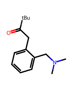 CN(C)Cc1ccccc1CC(=O)C(C)(C)C